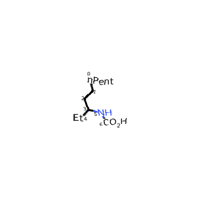 CCCCCCCC(CC)NC(=O)O